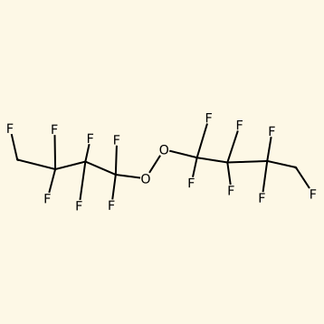 FCC(F)(F)C(F)(F)C(F)(F)OOC(F)(F)C(F)(F)C(F)(F)CF